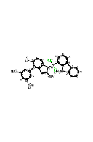 CCc1ccc2c(c1-c1cc(C(C)(C)C)cc(C(C)(C)C)c1)C=C(C(C)C)[CH]2[Zr]([Cl])([Cl])[c]1cccc2c1[SiH2]c1ccccc1-2